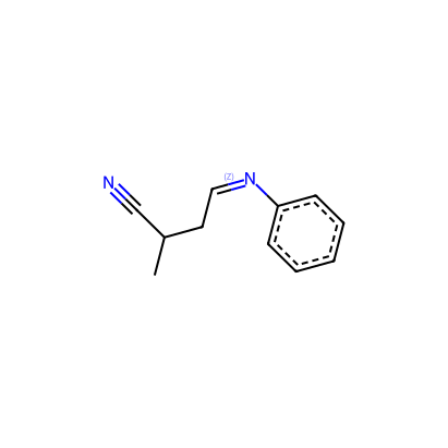 CC(C#N)C/C=N\c1ccccc1